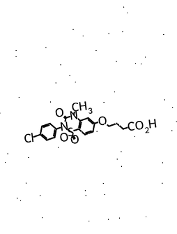 CN1C(=O)N(c2ccc(Cl)cc2)S(=O)(=O)c2ccc(OCCCC(=O)O)cc21